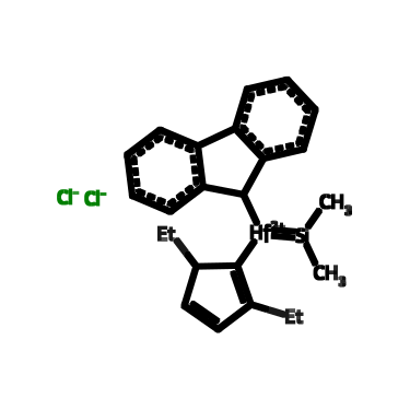 CCC1=[C]([Hf+2]([CH]2c3ccccc3-c3ccccc32)=[Si](C)C)C(CC)C=C1.[Cl-].[Cl-]